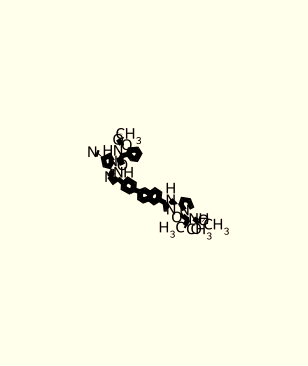 COC(=O)NC(C(=O)N1CCC[C@H]1c1ncc(-c2ccc3cc(-c4ccc(-c5cnc([C@@H]6C[C@H](C#N)CN6C(=O)[C@H](NC(=O)OC)c6ccccc6)[nH]5)cc4)ccc3c2)[nH]1)C(C)C